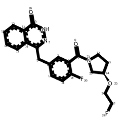 O=C(c1cc(Cc2n[nH]c(=O)c3ccccc23)ccc1F)N1CC[C@@H](OCCF)C1